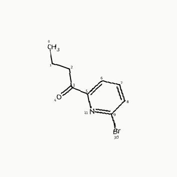 CCCC(=O)c1cccc(Br)n1